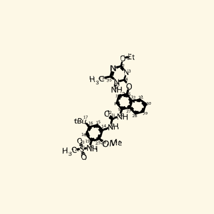 CCOC1=NC(Oc2ccc(NC(=O)Nc3cc(C(C)(C)C)cc(NS(C)(=O)=O)c3OC)c3ccccc23)N(N)C(C)=N1